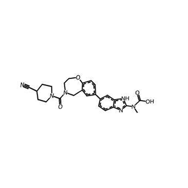 CN(C(=O)O)c1nc2ccc(-c3ccc4c(c3)CN(C(=O)N3CCC(C#N)CC3)CCO4)cc2[nH]1